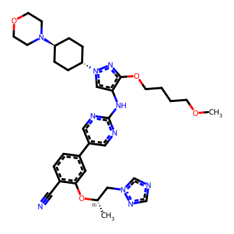 COCCCCOc1nn([C@H]2CC[C@H](N3CCOCC3)CC2)cc1Nc1ncc(-c2ccc(C#N)c(O[C@@H](C)Cn3cncn3)c2)cn1